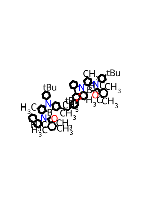 Cc1cc2c3c(c1)N(c1ccc(C(C)(C)C)cc1)c1c(oc4c1C(C)(C)CCC4(C)C)B3c1ccc(C(C)(C)C)cc1N2c1ccccc1-c1ccc2ccc(CC(C)(C)c3ccc4c(c3)B3c5oc6c(c5N(c5cccc7ccccc57)c5cc(C)cc(c53)N4c3ccc(C(C)(C)C)cc3)C(C)(C)CCC6(C)C)cc2c1